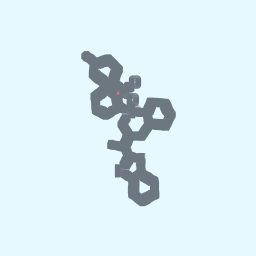 CC(=C1Cc2ccccc2[N+](OS(=O)(=O)c2ccc(C)cc2)(c2ccccc2)C1)c1nc2ccccc2s1